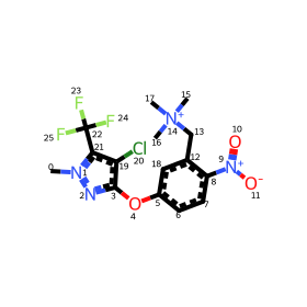 Cn1nc(Oc2ccc([N+](=O)[O-])c(C[N+](C)(C)C)c2)c(Cl)c1C(F)(F)F